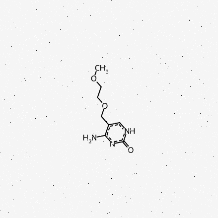 COCCOCc1c[nH]c(=O)nc1N